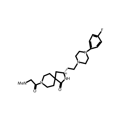 CNCC(=O)N1CCC2(CC1)C[C@H](CCN1CCN(c3ccc(F)cc3)CC1)NC2=O